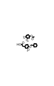 COc1cc(CC(=O)O)ccc1OCc1ccccc1.COc1ccc(OC(C)=O)cc1OC